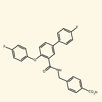 O=C(O)c1ccc(CNC(=O)c2cc(-c3ccc(F)cc3)ccc2Oc2ccc(F)cc2)cc1